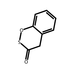 O=C1Cc2ccccc2OS1